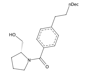 CCCCCCCCCCCCc1ccc(C(=O)N2CCC[C@@H]2CO)cc1